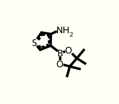 CC1(C)OB(c2cscc2N)OC1(C)C